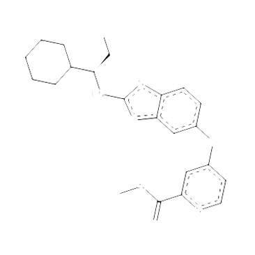 CNC(=O)c1cc(Oc2ccc3nc(N[C@H](CO)C4CCCCC4)oc3c2)ccn1